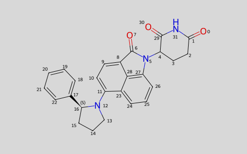 O=C1CCC(N2C(=O)c3ccc(N4CCC[C@H]4c4ccccc4)c4cccc2c34)C(=O)N1